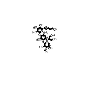 CN[C@@H]1[C@@H](O)[C@@H](O[C@H]2[C@H](NC(CO)CO)C[C@H](N)C(O[C@H]3O[C@H](CNCCCO)[C@@H](O)[C@H](O)[C@H]3O)[C@@H]2O)OC[C@]1(C)O